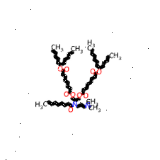 CCCCCCCCC(=O)N(CCCN(C)C)C(COC(=O)CCCCCCC(=O)OC(CCCCC)CCCCCCC)COC(=O)CCCCCCC(=O)OC(CCCCCC)CCCCCC